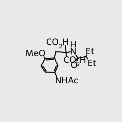 CCC(CC)C(=O)NC(Cc1cc(NC(C)=O)ccc1OC)(C(=O)O)C(=O)O